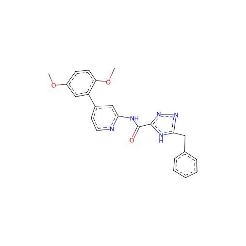 COc1ccc(OC)c(-c2ccnc(NC(=O)c3nnc(Cc4ccccc4)[nH]3)c2)c1